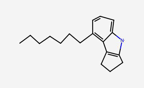 CCCCCCCc1cccc2c1C1=C(CCC1)[N]2